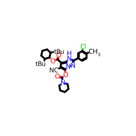 Cc1ccc(-c2nn3c(OC(=O)N4CCCCC4)c(C#N)c(C(=O)OC4C(C(C)(C)C)CCCC4C(C)(C)C)c3[nH]2)cc1Cl